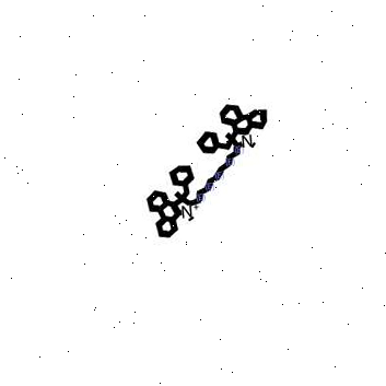 CN1/C(=C/C=C/C=C/C=C/C=C/C2=[N+](C)c3c(c4ccccc4c4ccccc34)C2(C)Cc2ccccc2)C(C)(Cc2ccccc2)c2c1c1ccccc1c1ccccc21